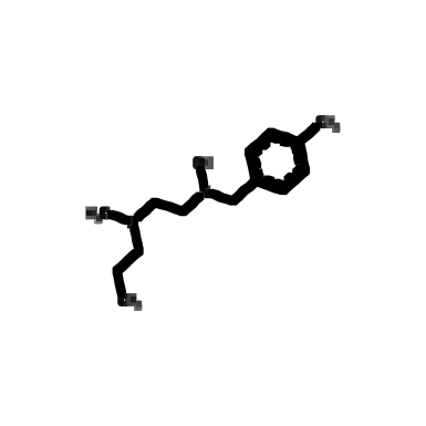 CCCN(C)CCN(O)Cc1ccc(C)cc1